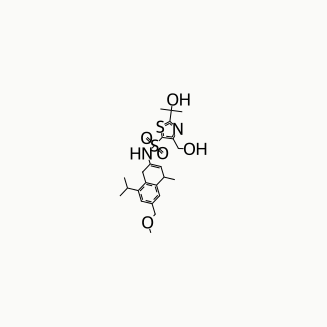 COCc1cc(C(C)C)c2c(c1)C(C)C=C(NS(=O)(=O)c1sc(C(C)(C)O)nc1CO)C2